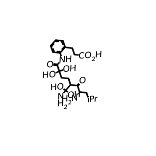 CC(C)C[C@H](N)C(=O)C(CCC(O)(O)C(=O)Nc1ccccc1CCC(=O)O)C(N)(O)O